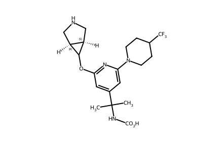 CC(C)(NC(=O)O)c1cc(OC2[C@H]3CNC[C@@H]23)nc(N2CCC(C(F)(F)F)CC2)c1